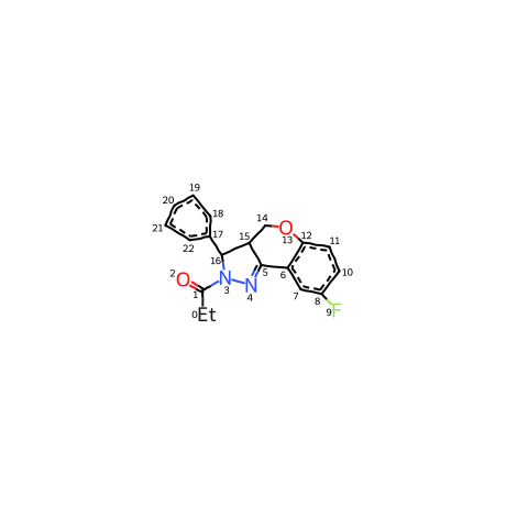 CCC(=O)N1N=C2c3cc(F)ccc3OCC2C1c1ccccc1